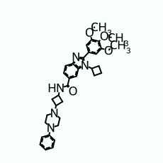 COc1cc(-c2nc3ccc(C(=O)NC4CC(N5CCN(c6ccccc6)CC5)C4)cc3n2C2CCC2)cc(OC)c1OC